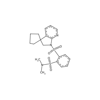 CN(C)S(=O)(=O)c1ccccc1S(=O)(=O)N1CC2(CCCC2)c2cccnc21